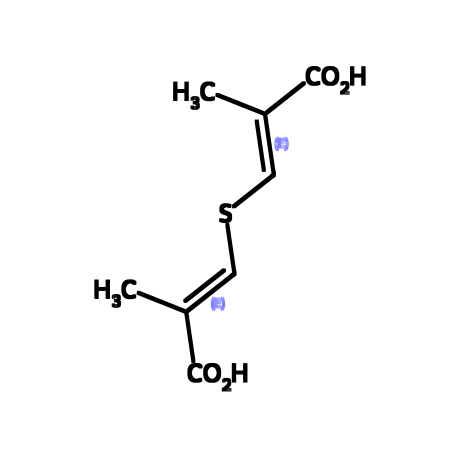 C/C(=C\S/C=C(\C)C(=O)O)C(=O)O